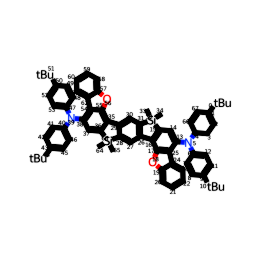 CC(C)(C)C1=CCC(N(c2ccc(C(C)(C)C)cc2)c2cc3c(c4oc5ccccc5c24)-c2cc4c(cc2[Si]3(C)C)-c2c(cc(N(c3ccc(C(C)(C)C)cc3)c3ccc(C(C)(C)C)cc3)c3c2oc2ccccc23)[Si]4(C)C)C=C1